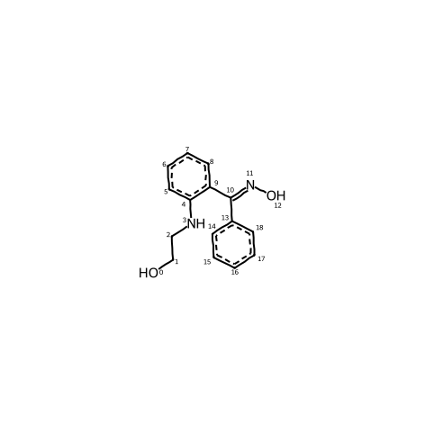 OCCNc1ccccc1C(=NO)c1ccccc1